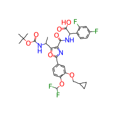 CC(NC(=O)OC(C)(C)C)c1oc(-c2ccc(OC(F)F)c(OCC3CC3)c2)nc1C(=O)NC(C(=O)O)c1ccc(F)cc1F